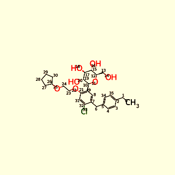 CCc1ccc(Cc2cc([C@@H]3O[C@H](CO)[C@@H](O)[C@H](O)[C@H]3O)c(OCCOC3CCCC3)cc2Cl)cc1